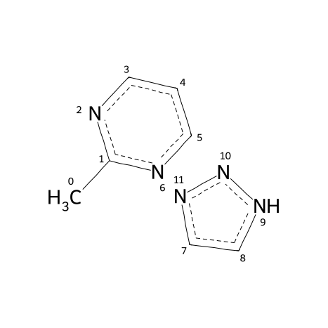 Cc1ncccn1.c1c[nH]nn1